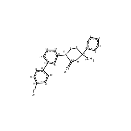 CC1(c2ccccc2)CCN(c2cccc(-c3ccc(F)cc3)c2)C(=O)C1